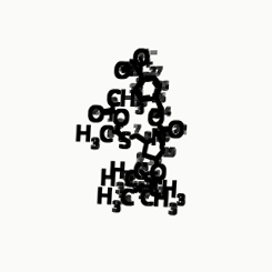 CC(=O)OC(C)SCC1CC(O[Si](C)(C)C(C)(C)C)CN1C(=O)OCc1ccc([N+](=O)[O-])cc1